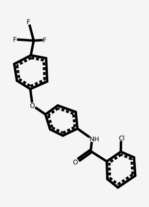 O=C(Nc1ccc(Oc2ccc(C(F)(F)F)cc2)cc1)c1ccccc1Cl